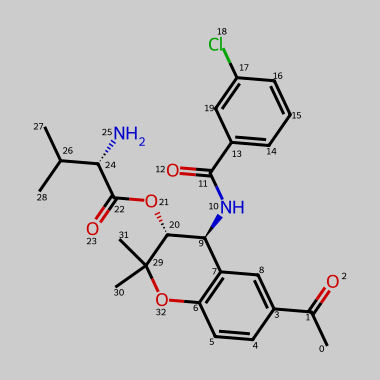 CC(=O)c1ccc2c(c1)[C@H](NC(=O)c1cccc(Cl)c1)[C@@H](OC(=O)[C@@H](N)C(C)C)C(C)(C)O2